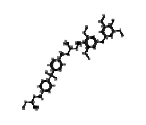 CCc1cc(Cc2cc(CC)c(NCC(O)COc3ccc(C(C)(C)c4ccc(OCC(O)CC)cc4)cc3)c(CC)c2)cc(CC)c1C